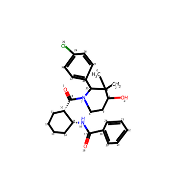 CC1(C)C(O)CCN(C(=O)[C@H]2CCCC[C@H]2NC(=O)c2ccccc2)C1c1ccc(Cl)cc1